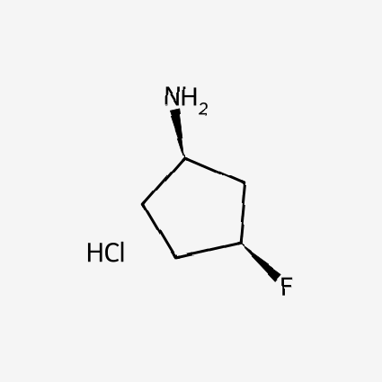 Cl.N[C@@H]1CC[C@H](F)C1